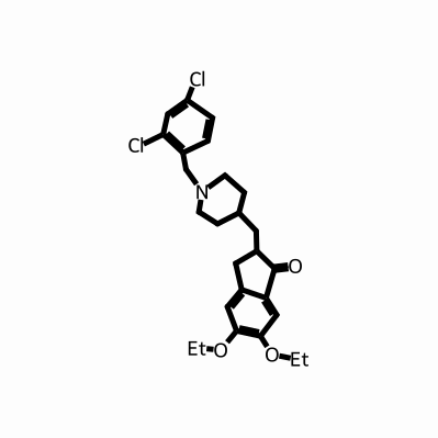 CCOc1cc2c(cc1OCC)C(=O)C(CC1CCN(Cc3ccc(Cl)cc3Cl)CC1)C2